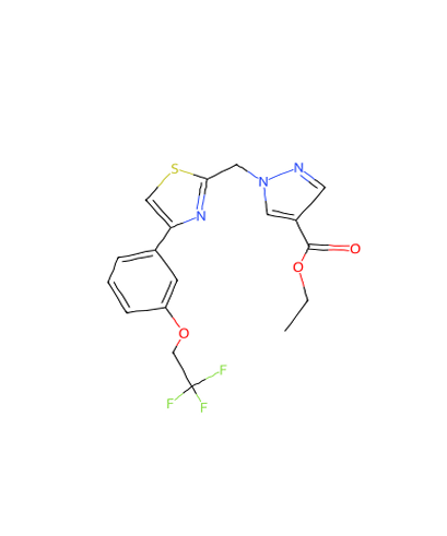 CCOC(=O)c1cnn(Cc2nc(-c3cccc(OCC(F)(F)F)c3)cs2)c1